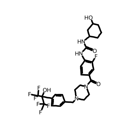 O=C(Nc1ccc(C(=O)N2CCN(Cc3ccc(C(O)(C(F)(F)F)C(F)(F)F)cc3)CC2)cc1F)NC1CCCC(O)C1